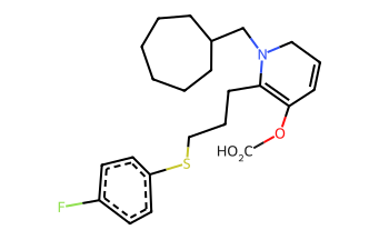 O=C(O)OC1=C(CCCSc2ccc(F)cc2)N(CC2CCCCCC2)CC=C1